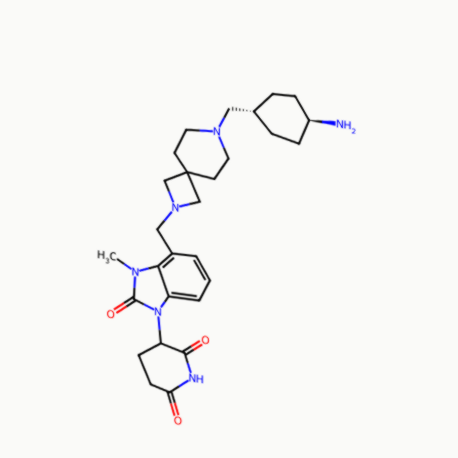 Cn1c(=O)n(C2CCC(=O)NC2=O)c2cccc(CN3CC4(CCN(C[C@H]5CC[C@H](N)CC5)CC4)C3)c21